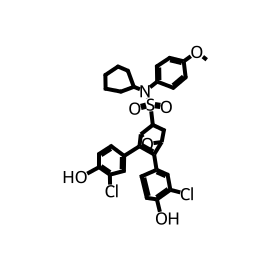 COc1ccc(N(C2CCCCC2)S(=O)(=O)C2CC3OC2C(c2ccc(O)c(Cl)c2)=C3c2ccc(O)c(Cl)c2)cc1